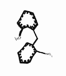 O=[N+]([O-])c1ccccc1Cc1ccccc1O